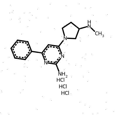 CNC1CCN(c2cc(-c3ccccc3)nc(N)n2)C1.Cl.Cl.Cl